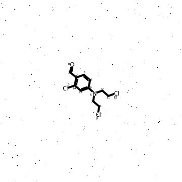 O=Cc1ccc(N(CCCl)CCCl)cc1Cl